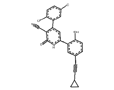 N#Cc1c(-c2cc(Cl)ccc2Cl)cc(-c2cc(C#CC3CC3)ccc2O)[nH]c1=O